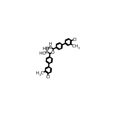 Cc1cc(-c2ccc(C(BO)OC(BO)c3ccc(-c4ccc(Cl)c(C)c4)cc3)cc2)ccc1Cl